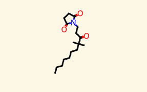 CCCCCCCC(C)(C)C(=O)CCN1C(=O)CCC1=O